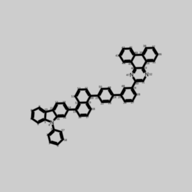 c1ccc(-n2c3ccccc3c3ccc(-c4cccc5c(-c6ccc(-c7cccc(-c8cnc9c%10ccccc%10c%10ccccc%10c9n8)c7)cc6)cccc45)cc32)cc1